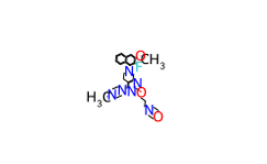 COc1cc2ccccc2c(N2CCc3c(nc(OCCCN4CCOCC4)nc3N3CCN(C)CC3)C2)c1F